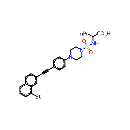 CCC[C@H](NS(=O)(=O)N1CCN(c2ccc(C#Cc3ccc4cccc(CC)c4c3)cc2)CC1)C(=O)O